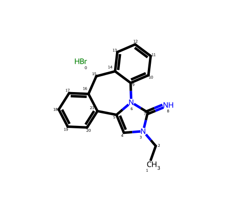 Br.CCn1cc2n(c1=N)-c1ccccc1Cc1ccccc1-2